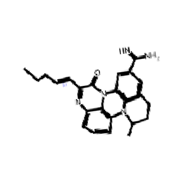 CCC/C=C/c1nc2cccc(N3C(C)CCCC3C)c2n(-c2cccc(C(=N)N)c2)c1=O